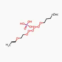 CC=COCCOOOOOOCCCCCCCCCCCCC.O=P(O)(O)O